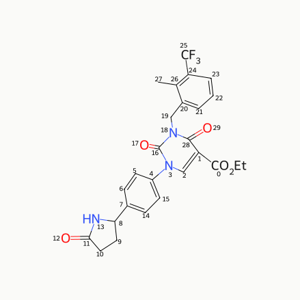 CCOC(=O)c1cn(-c2ccc(C3CCC(=O)N3)cc2)c(=O)n(Cc2cccc(C(F)(F)F)c2C)c1=O